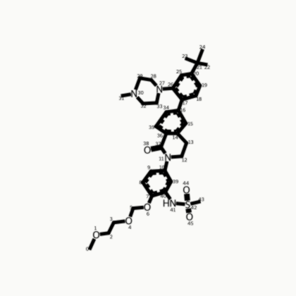 COCCOCOc1ccc(N2CCc3cc(-c4ccc(C(C)(C)C)cc4N4CCN(C)CC4)ccc3C2=O)cc1NS(C)(=O)=O